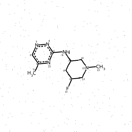 Cc1cnnc(NC2CC(F)CN(C)C2)n1